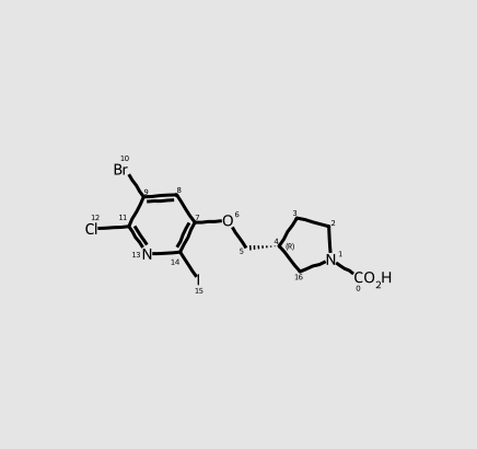 O=C(O)N1CC[C@@H](COc2cc(Br)c(Cl)nc2I)C1